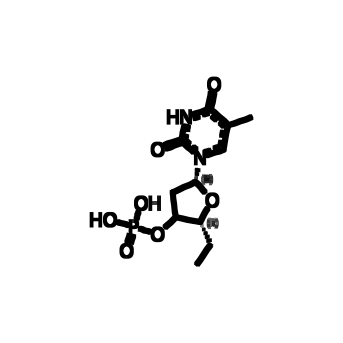 CC[C@H]1O[C@@H](n2cc(C)c(=O)[nH]c2=O)CC1OP(=O)(O)O